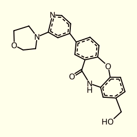 O=C1Nc2cc(CO)ccc2Oc2ccc(-c3ccnc(N4CCOCC4)c3)cc21